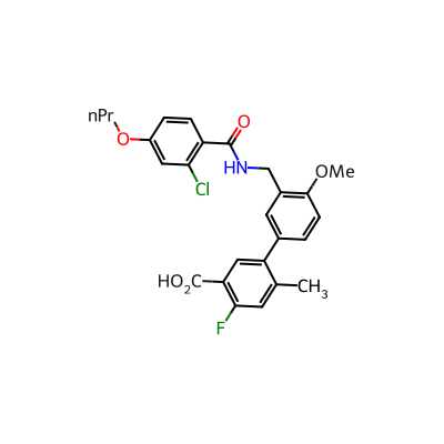 CCCOc1ccc(C(=O)NCc2cc(-c3cc(C(=O)O)c(F)cc3C)ccc2OC)c(Cl)c1